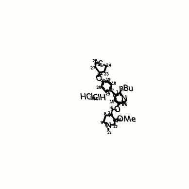 CCCCc1nnc(OC[C@@H]2CCN(C)C[C@@H]2OC)cc1-c1ccc(OC2CCCCC2)cc1.Cl.Cl